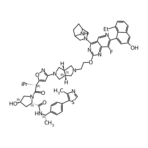 CCc1cccc2cc(O)cc(-c3ncc4c(N5CC6CCC(C5)N6)nc(OCCN5C[C@@H]6CN(c7cc([C@H](C(=O)N8C[C@H](O)C[C@H]8C(=O)N[C@@H](C)c8ccc(-c9scnc9C)cc8)C(C)C)on7)C[C@@H]6C5)nc4c3F)c12